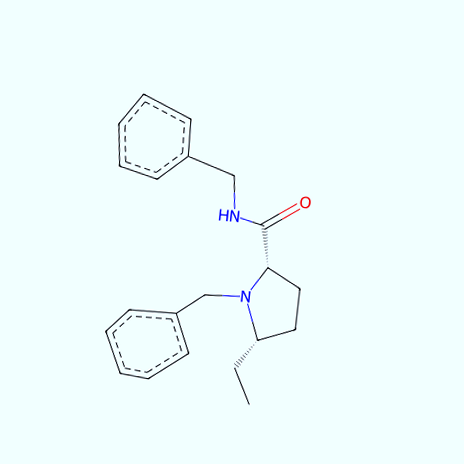 CC[C@H]1CC[C@@H](C(=O)NCc2ccccc2)N1Cc1ccccc1